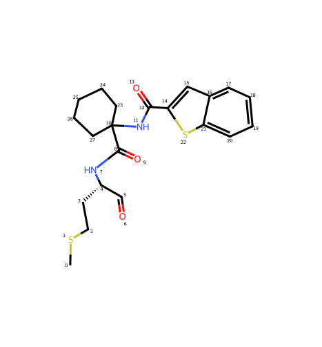 CSCC[C@@H](C=O)NC(=O)C1(NC(=O)c2cc3ccccc3s2)CCCCC1